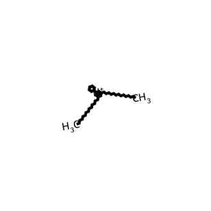 CCCCCCCCCCCCCCc1cc(CCCCCCCCCCCCCC)c[n+](-c2ccccc2)c1